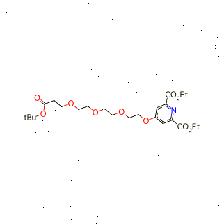 CCOC(=O)c1cc(OCCOCCOCCOCCC(=O)OC(C)(C)C)cc(C(=O)OCC)n1